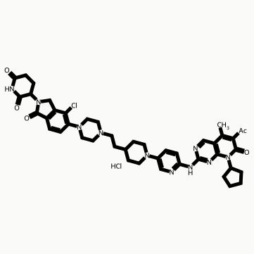 CC(=O)c1c(C)c2cnc(Nc3ccc(N4CCC(CCN5CCN(c6ccc7c(c6Cl)CN(C6CCC(=O)NC6=O)C7=O)CC5)CC4)cn3)nc2n(C2CCCC2)c1=O.Cl